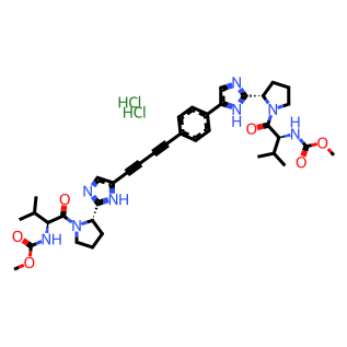 COC(=O)N[C@H](C(=O)N1CCC[C@H]1c1ncc(C#CC#Cc2ccc(-c3cnc([C@@H]4CCCN4C(=O)[C@@H](NC(=O)OC)C(C)C)[nH]3)cc2)[nH]1)C(C)C.Cl.Cl